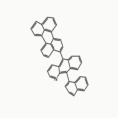 c1ccc2c(-c3c4ccccc4c(-c4ccc5c6cccc7cccc(c8cccc4c85)c76)c4cccnc34)cccc2c1